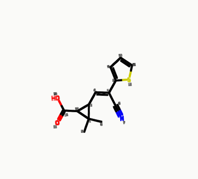 CC1(C)C(/C=C(\C#N)c2cccs2)C1C(=O)O